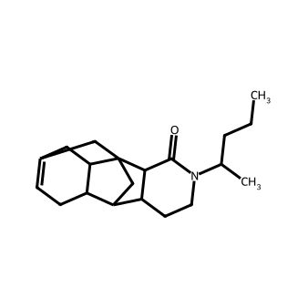 CCCC(C)N1CCC2C3CC4(CC5=CCC3C4C5)C2C1=O